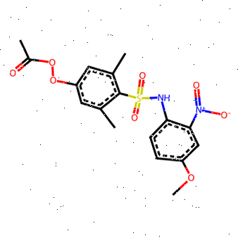 COc1ccc(NS(=O)(=O)c2c(C)cc(OOC(C)=O)cc2C)c([N+](=O)[O-])c1